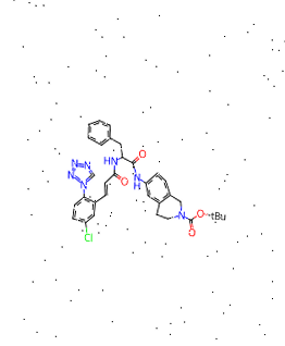 CC(C)(C)OC(=O)N1CCc2cc(NC(=O)C(Cc3ccccc3)NC(=O)C=Cc3cc(Cl)ccc3-n3cnnn3)ccc2C1